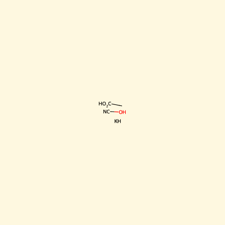 CC(=O)O.N#CO.[KH]